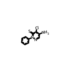 Nc1cnn(-c2ccccc2)c(=S)c1Cl